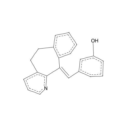 Oc1cccc(/C=C2\c3ccccc3CCc3cccnc32)c1